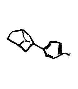 CN1C2CCC1CC(c1ccc(F)cc1)C2